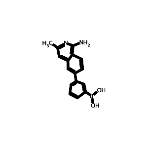 Cc1cc2cc(-c3cccc(B(O)O)c3)ccc2c(N)n1